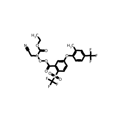 CCOC(=O)N(CC#N)OOC(=O)c1cc(Oc2ccc(C(F)(F)F)cc2C)ccc1S(=O)(=O)C(F)(F)F